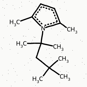 Cc1ccc(C)n1C(C)(C)CC(C)(C)C